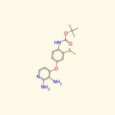 CSc1cc(Oc2ccnc(N)c2N)ccc1NC(=O)OC(C)(C)C